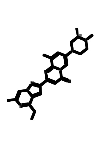 CCc1nc(C)cn2nc(-c3cc(=O)n4cc(N5CCN(C)[C@H](C)C5)cc(C)c4n3)cc12